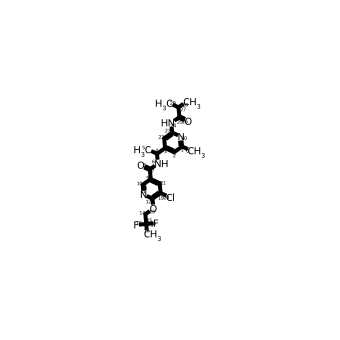 Cc1cc(C(C)NC(=O)c2cnc(OCC(C)(F)F)c(Cl)c2)cc(NC(=O)C(C)C)n1